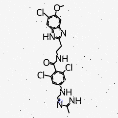 COc1cc2nc(CCNC(=O)c3c(Cl)cc(N/C=N\C(C)=N)cc3Cl)[nH]c2cc1Cl